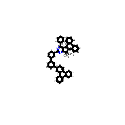 CC1(C)c2nc(-c3cccc(-c4cccc(-c5ccc6c7ccccc7c7ccccc7c6c5)c4)c3)nc(-c3ccccc3)c2-c2c1c1ccccc1c1ccccc21